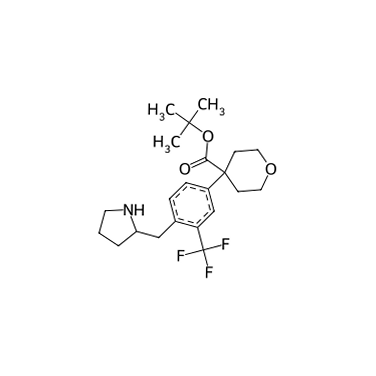 CC(C)(C)OC(=O)C1(c2ccc(CC3CCCN3)c(C(F)(F)F)c2)CCOCC1